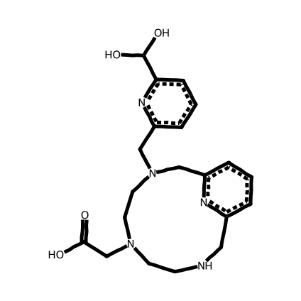 O=C(O)CN1CCNCc2cccc(n2)CN(Cc2cccc(C(O)O)n2)CC1